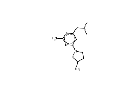 CC(C)Cc1cc(N2CCC(N)C2)nc(N)n1